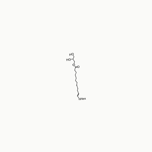 CCCCCC/C=C/CCCCCCCCCC(=O)OCC(O)CO